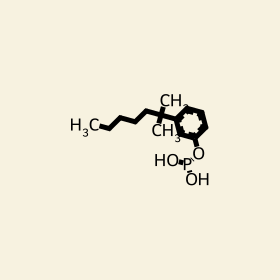 CCCCCC(C)(C)c1cccc(OP(O)O)c1